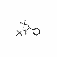 CC(C)(C)SNC(CC(F)(F)F)C1=CCCC=C1